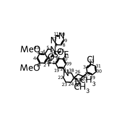 COc1ccc(CN(c2ccncn2)S(=O)(=O)c2c(F)cc(N3CCCC(CCc4cccc(Cl)c4)(N(C)C)C3)cc2F)c(OC)c1